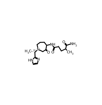 CC(C[CH]C(=O)NC1CCCN([C@@H](C)c2ncc[nH]2)CC1=O)C(N)=O